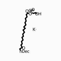 CCCCCCCCCCCC(=O)CCCCCCCCCCCCCCCCCC(=O)OS(=O)(=O)CCO.[K]